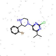 CC(C)c1cc(N2CCNC(c3ccccc3Br)C2)nc(Cl)n1